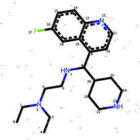 CCN(CC)CCNC(c1ccnc2ccc(F)cc12)C1CCNCC1